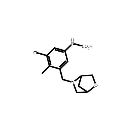 Cc1c(Cl)cc(NC(=O)O)cc1CN1CC2CC1CO2